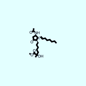 CCCCCCC=C[C@H]1[C@H](NC(C)=O)CC(=O)[C@@H]1CCCCCC(C)(O)C(=O)OC